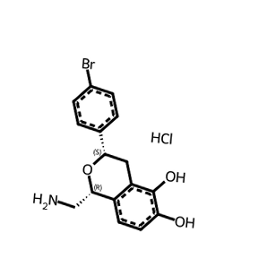 Cl.NC[C@@H]1O[C@H](c2ccc(Br)cc2)Cc2c1ccc(O)c2O